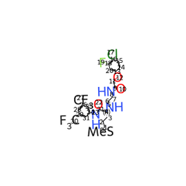 CSCCC[C@@H](NCCNC(=O)COc1ccc(Cl)c(F)c1)C(=O)Nc1cc(C(F)(F)F)cc(C(F)(F)F)c1